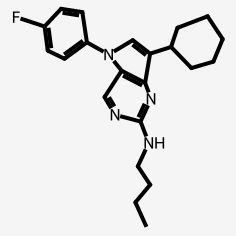 CCCCNc1ncc2c(n1)c(C1CCCCC1)cn2-c1ccc(F)cc1